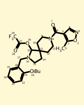 Cc1oncc1C(=O)N1CCC2(CC1)CCN(Cc1ccccc1OCC(C)C)C2OC(=O)C(F)(F)F